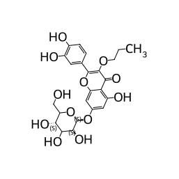 CCCOc1c(-c2ccc(O)c(O)c2)oc2cc(O[C@@H]3OC(CO)[C@@H](O)C(O)[C@@H]3O)cc(O)c2c1=O